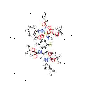 C=CCOC(=O)NS(=O)(=O)N(CC(=O)OC(C)(C)C)c1c(OCc2ccccc2)cc2c(c1F)C[C@H](CN(CCC(C)(C)C)C(=O)OC(C)(C)C)N2C(=O)OC(C)(C)C